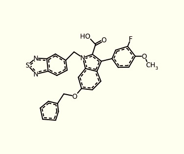 COc1ccc(-c2c(C(=O)O)n(Cc3ccc4nsnc4c3)c3cc(OCc4ccccc4)ccc23)cc1F